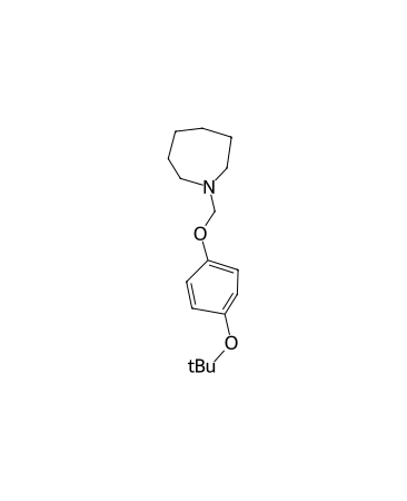 CC(C)(C)Oc1ccc(OCN2CCCCCC2)cc1